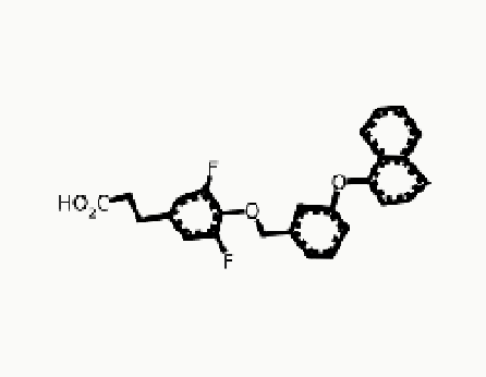 O=C(O)CCc1cc(F)c(OCc2cccc(Oc3cccc4ccccc34)c2)c(F)c1